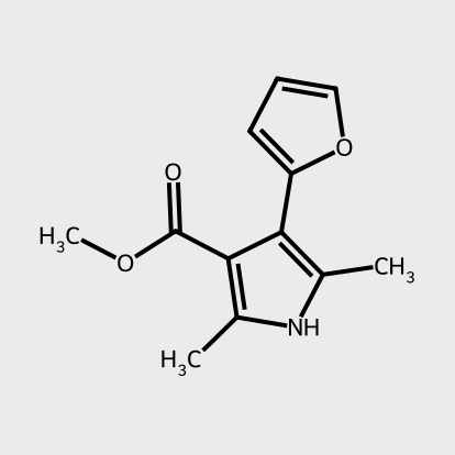 COC(=O)c1c(C)[nH]c(C)c1-c1ccco1